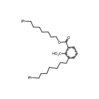 CC(C)CCCCCCCOC(=O)c1cccc(CCCCCCCC(C)C)c1C(=O)O